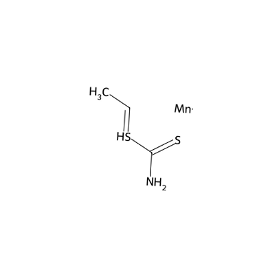 CC=[SH]C(N)=S.[Mn]